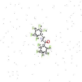 O=C(/C=C/c1c(F)c(F)c(F)c(F)c1F)c1c(F)c(F)c(F)c(F)c1F